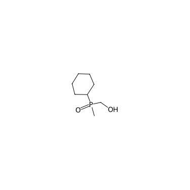 CP(=O)(CO)C1CCCCC1